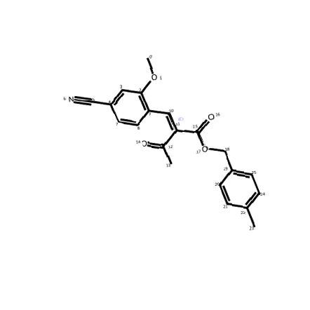 COc1cc(C#N)ccc1/C=C(\C(C)=O)C(=O)OCc1ccc(C)cc1